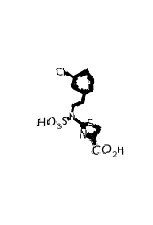 O=C(O)c1csc(N(CCc2cccc(Cl)c2)S(=O)(=O)O)n1